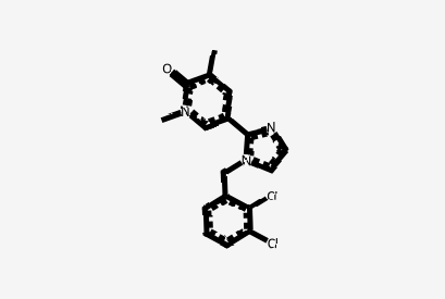 Cc1cc(-c2nccn2Cc2cccc(Cl)c2Cl)cn(C)c1=O